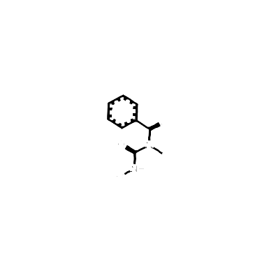 CN(C(=O)NO)C(=O)c1ccccc1